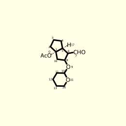 CC(=O)O[C@]12CCC[C@H]1C(C=O)C(OC1CCCCO1)C2